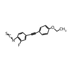 CCOc1ccc(C#Cc2ccc(N=C=S)c(F)c2)cc1